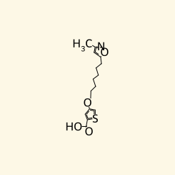 Cc1cc(CCCCCCCOc2csc(C(=O)O)c2)on1